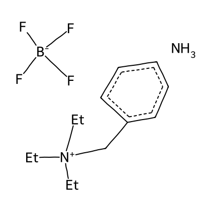 CC[N+](CC)(CC)Cc1ccccc1.F[B-](F)(F)F.N